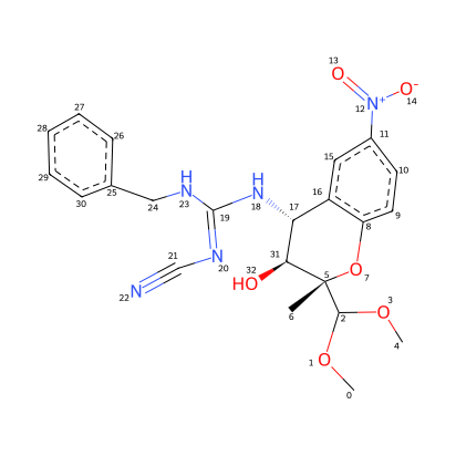 COC(OC)[C@@]1(C)Oc2ccc([N+](=O)[O-])cc2[C@@H](NC(=NC#N)NCc2ccccc2)[C@@H]1O